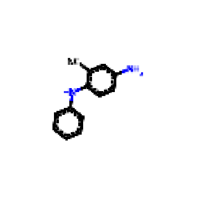 N#Cc1cc(N)ccc1Nc1ccccc1